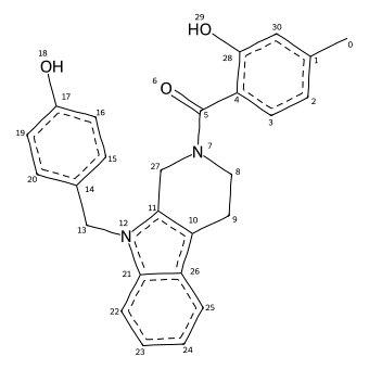 Cc1ccc(C(=O)N2CCc3c(n(Cc4ccc(O)cc4)c4ccccc34)C2)c(O)c1